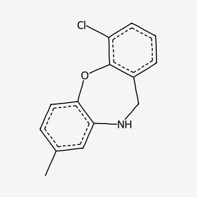 Cc1ccc2c(c1)NCc1cccc(Cl)c1O2